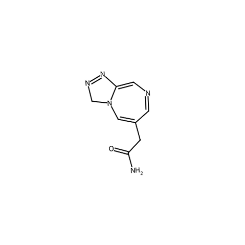 NC(=O)CC1=CN2CN=NC2=CN=C1